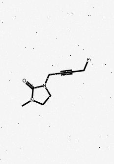 CN1CCN(CC#CCBr)C1=O